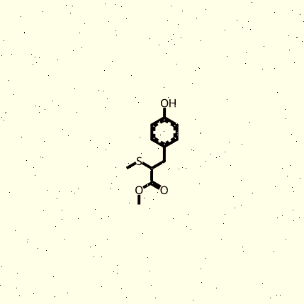 COC(=O)C(Cc1ccc(O)cc1)SC